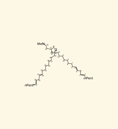 CCCCCC=CCC=CCCCCCCCCC1(CCCCCCCCC=CCC=CCCCCC)OCC(CCNC)O1